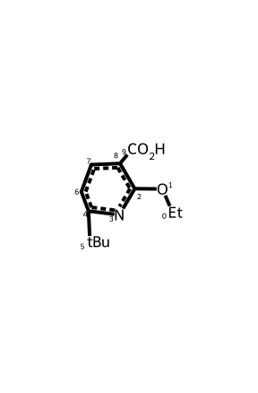 CCOc1nc(C(C)(C)C)ccc1C(=O)O